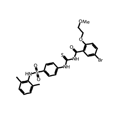 COCCOc1ccc(Br)cc1C(=O)NC(=S)Nc1ccc(S(=O)(=O)Nc2c(C)cccc2C)cc1